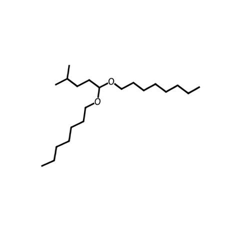 CCCCCCCCOC(CCC(C)C)OCCCCCCC